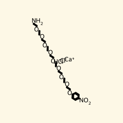 Cl.NCCOCCOCCOCCOCCOCCOCCOCCOCCOc1ccc([N+](=O)[O-])cc1.[Ca+].[Cl-]